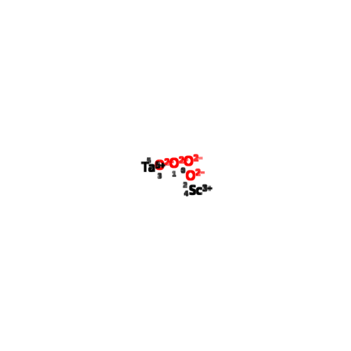 [O-2].[O-2].[O-2].[O-2].[Sc+3].[Ta+5]